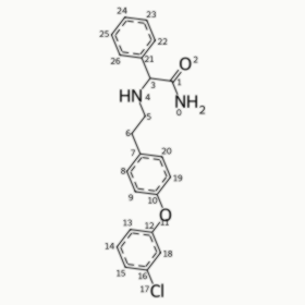 NC(=O)C(NCCc1ccc(Oc2cccc(Cl)c2)cc1)c1ccccc1